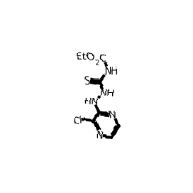 CCOC(=O)NC(=S)NNc1nccnc1Cl